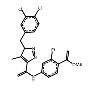 C=C(Nc1ccc(C(=C)OC)c(CC)c1)C1=C(C)C(Cc2ccc(Cl)c(Cl)c2)N=N1